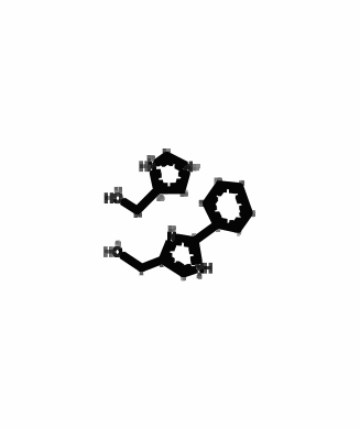 OCc1c[nH]c(-c2ccccc2)n1.OCc1cnc[nH]1